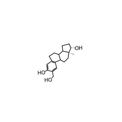 C[C@]12CCC3c4cc(CO)c(O)cc4CCC3C1CC[C@@H]2O